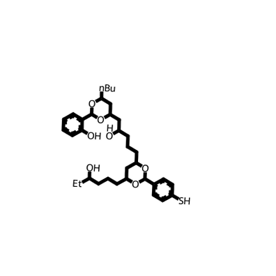 CCCCC1CC(CC(O)CCCC2CC(CCCC(O)CC)OC(c3ccc(S)cc3)O2)OC(c2ccccc2O)O1